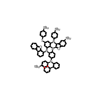 CC(C)(C)c1ccc(Sc2cc3c4c(c2)N(c2cccc5c2oc2ccccc25)c2cc(N(c5ccc(C(C)(C)C)cc5)c5ccccc5-c5ccccc5)ccc2B4c2oc4ccc(C(C)(C)C)cc4c2N3c2ccc(C(C)(C)C)cc2)cc1